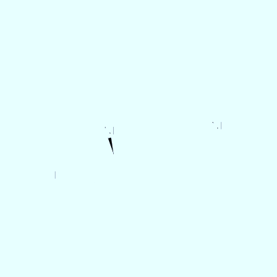 CC(C)C(c1c[nH]c2ccccc12)[C@H](N)C(=O)O